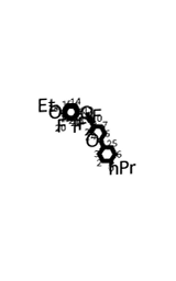 CCCC1CCC(C2CCC(C(F)(F)Oc3ccc(OCC)c(F)c3F)=CO2)CC1